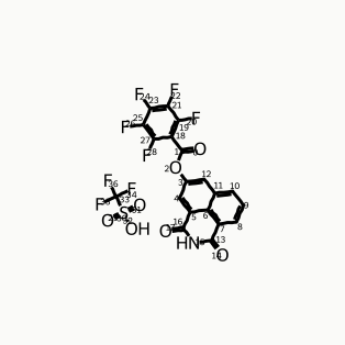 O=C(Oc1cc2c3c(cccc3c1)C(=O)NC2=O)c1c(F)c(F)c(F)c(F)c1F.O=S(=O)(O)C(F)(F)F